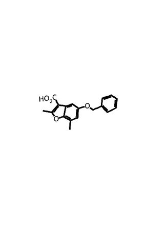 Cc1oc2c(C)cc(OCc3ccccc3)cc2c1C(=O)O